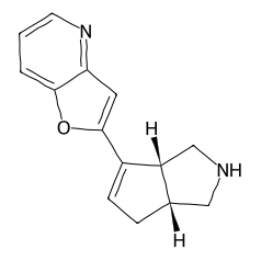 C1=C(c2cc3ncccc3o2)[C@@H]2CNC[C@@H]2C1